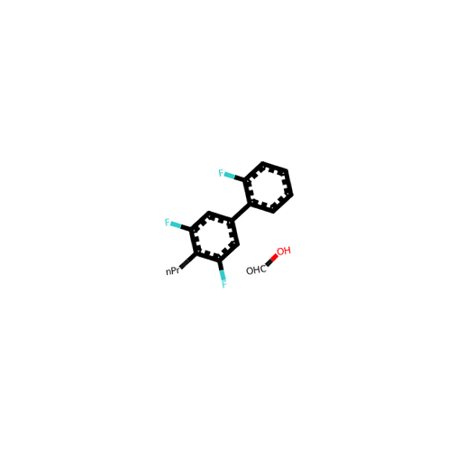 CCCc1c(F)cc(-c2ccccc2F)cc1F.O=CO